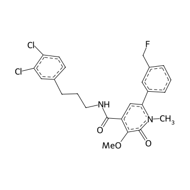 COc1c(C(=O)NCCCc2ccc(Cl)c(Cl)c2)cc(-c2cccc(CF)c2)n(C)c1=O